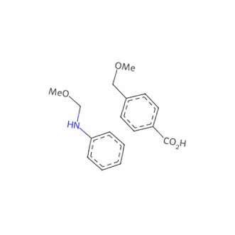 COCNc1ccccc1.COCc1ccc(C(=O)O)cc1